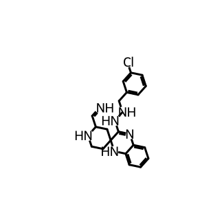 N=CC1CC2(CCN1)Nc1ccccc1N=C2NNCc1cccc(Cl)c1